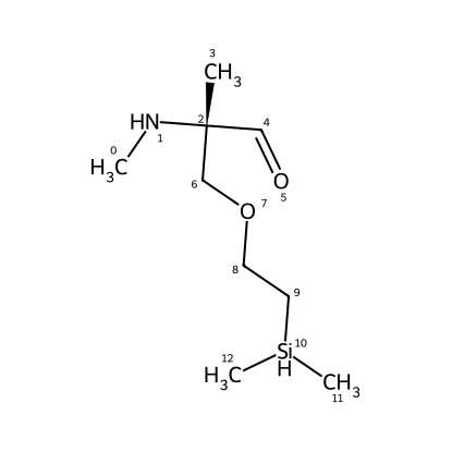 CN[C@](C)(C=O)COCC[SiH](C)C